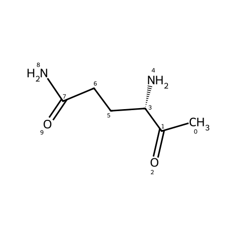 CC(=O)[C@@H](N)CCC(N)=O